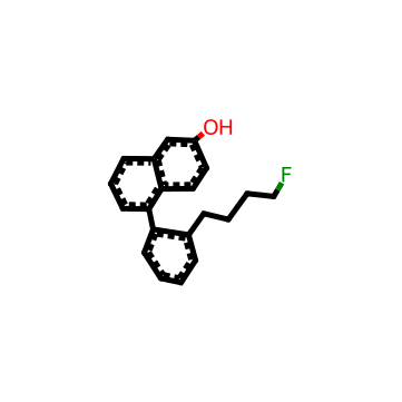 Oc1ccc2c(-c3ccccc3CCCCF)cccc2c1